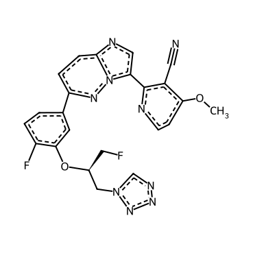 COc1ccnc(-c2cnc3ccc(-c4ccc(F)c(O[C@@H](CF)Cn5cnnn5)c4)nn23)c1C#N